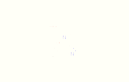 OCc1coc(-c2c(-c3ccccc3)cnnc2-c2ccccc2)n1